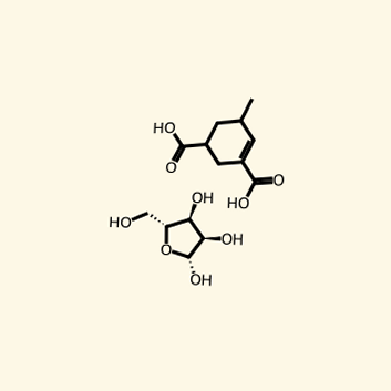 CC1C=C(C(=O)O)CC(C(=O)O)C1.OC[C@H]1O[C@@H](O)[C@H](O)[C@@H]1O